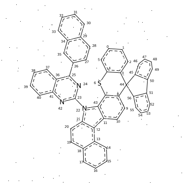 c1ccc2c(c1)Sc1c(ccc3c4c5ccccc5ccc4n(-c4nc(-c5ccc6ccccc6c5)c5ccccc5n4)c13)C21c2ccccc2-c2ccccc21